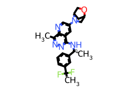 Cc1nnc(N[C@H](C)c2cccc(C(C)(F)F)c2)c2cc(N3CC4CC3CO4)cnc12